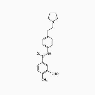 Cc1ccc([S+]([O-])Nc2ccc(CCN3CCCC3)cc2)cc1C=O